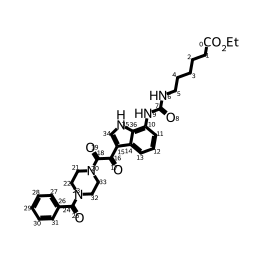 CCOC(=O)CCCCCNC(=O)Nc1cccc2c(C(=O)C(=O)N3CCN(C(=O)c4ccccc4)CC3)c[nH]c12